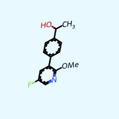 COc1ncc(F)cc1-c1ccc(C(C)O)cc1